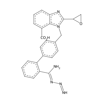 N=N/N=C(\N)c1ccccc1-c1ccc(Cn2c(C3CO3)nc3cccc(C(=O)O)c32)cc1